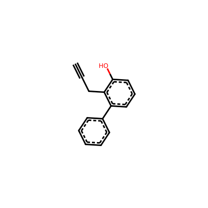 C#CCc1c(O)cccc1-c1ccccc1